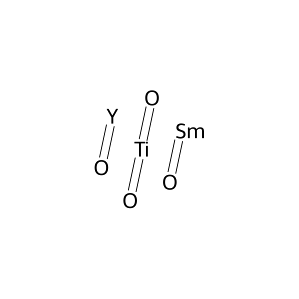 [O]=[Sm].[O]=[Ti]=[O].[O]=[Y]